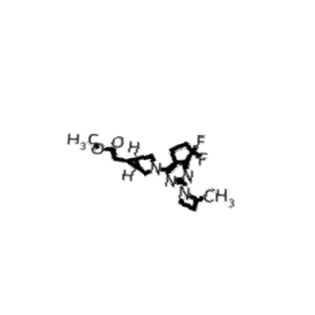 COC(=O)CC1[C@H]2CN(c3nc(N4CCC4C)nc4c3CCC4(F)F)C[C@@H]12